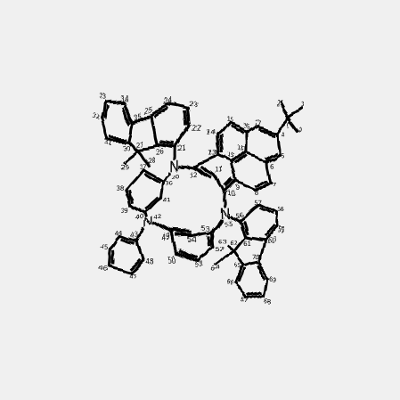 CC(C)(C)c1cc2ccc3c4cc(c5ccc(c1)c2c35)N(c1cccc2c1C(C)(C)c1ccccc1-2)c1cccc(c1)N(c1ccccc1)c1cccc(c1)N4c1cccc2c1C(C)(C)c1ccccc1-2